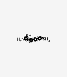 CCC1CCC(C2CCC(c3ccc(Oc4cc(N)cc(N)c4)cc3)CC2)CC1